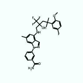 COc1ccc(F)cc1C(C)(C)CC(O)(CNc1cc(C)cc2c1cnn2-c1cccc(C(N)=O)c1)C(F)(F)F